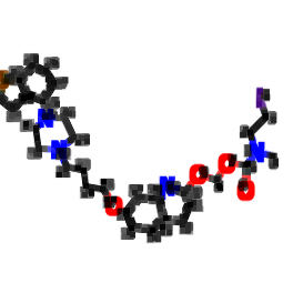 CN(CCI)C(=O)OCOc1ccc2ccc(OCCCCN3CCN(c4cccc5sccc45)CC3)cc2n1